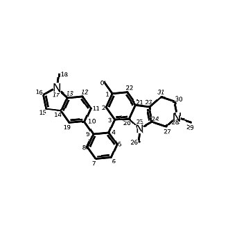 Cc1cc(-c2ccccc2-c2ccc3c(ccn3C)c2)c2c(c1)c1c(n2C)CN(C)CC1